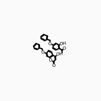 CC(=O)c1ccc(OCc2ccccc2)cc1O.O=c1cc(O)c2ccc(OCc3ccccc3)cc2o1